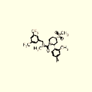 Cc1cc(F)ccc1[C@H]1C[C@@H](S(C)(=O)=O)CCN1C(=O)N(C)Cc1cc(C(F)(F)F)cc(C(F)(F)F)c1